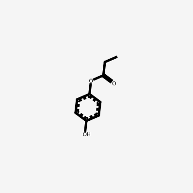 C[CH]C(=O)Oc1ccc(O)cc1